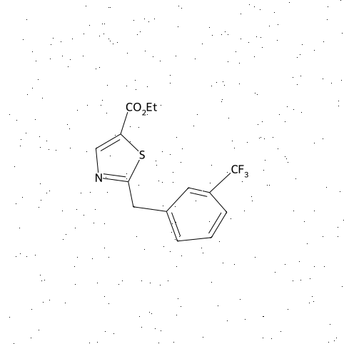 CCOC(=O)c1cnc(Cc2cccc(C(F)(F)F)c2)s1